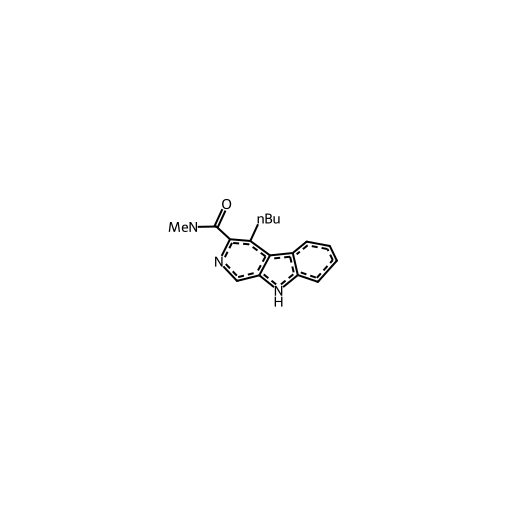 CCCCc1c(C(=O)NC)ncc2[nH]c3ccccc3c12